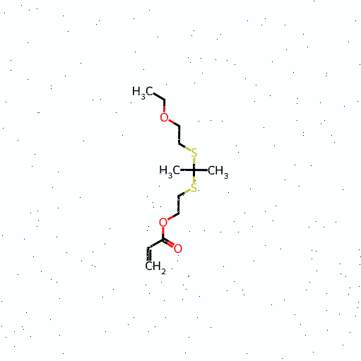 C=CC(=O)OCCSC(C)(C)SCCOCC